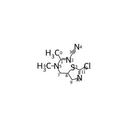 CC(=NC#N)N(C)CC1CN=C(Cl)S1